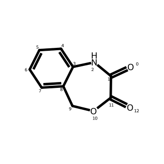 O=C1Nc2ccccc2COC1=O